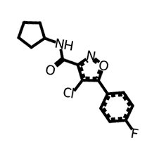 O=C(NC1CCCC1)c1noc(-c2ccc(F)cc2)c1Cl